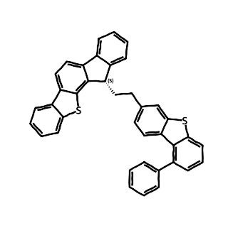 c1ccc(-c2cccc3sc4cc(CC[C@H]5c6ccccc6-c6ccc7c(sc8ccccc87)c65)ccc4c23)cc1